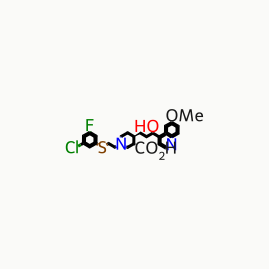 COc1ccc2nccc(C(O)CC[C@@H]3CCN(CCSc4cc(F)cc(Cl)c4)C[C@@H]3C(=O)O)c2c1